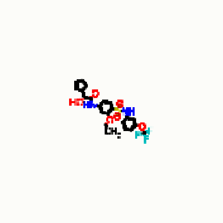 CCOc1cc(NC(=O)C(O)C2C=CCC2)ccc1S(=O)(=O)Nc1cccc(OC(F)(F)F)c1